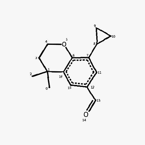 CC1(C)CCOc2c(C3CC3)cc(C=O)cc21